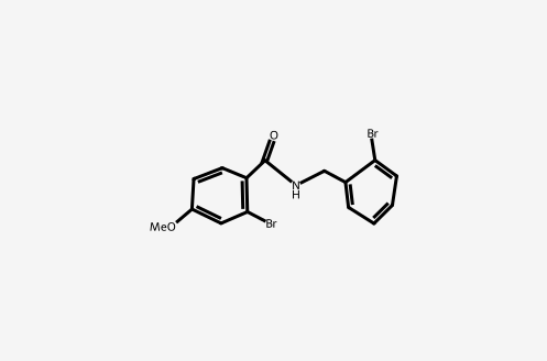 COc1ccc(C(=O)NCc2ccccc2Br)c(Br)c1